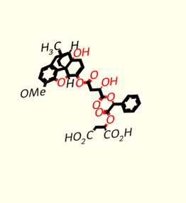 COc1ccc2c3c1O[C@H]1C(OC(=O)C[C@H](O)C(=O)O[C@H](C(=O)O[C@H](CC(=O)O)C(=O)O)c4ccccc4)=CC[C@@]4(O)[C@@H](C2)C(C)CC[C@]314